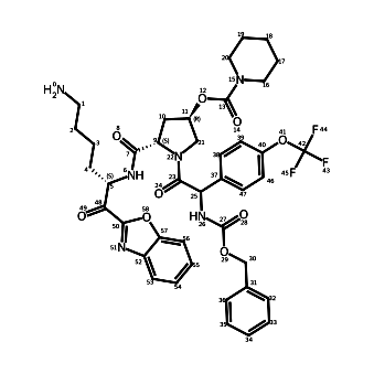 NCCCC[C@H](NC(=O)[C@@H]1C[C@@H](OC(=O)N2CCCCC2)CN1C(=O)C(NC(=O)OCc1ccccc1)c1ccc(OC(F)(F)F)cc1)C(=O)c1nc2ccccc2o1